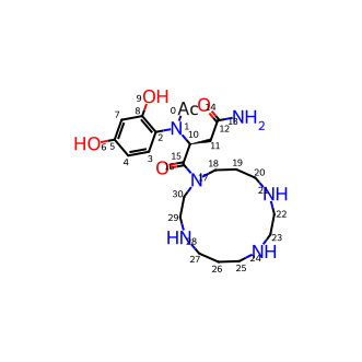 CC(=O)N(c1ccc(O)cc1O)[C@@H](CC(N)=O)C(=O)N1CCCNCCNCCCNCC1